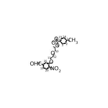 Cc1ccc(S(=O)(=O)OCCOCCOc2cc(C=O)ccc2[N+](=O)[O-])cc1